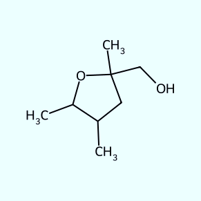 CC1CC(C)(CO)OC1C